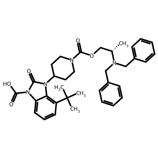 C[C@@H](COC(=O)N1CCC(n2c(=O)n(C(=O)O)c3cccc(C(C)(C)C)c32)CC1)N(Cc1ccccc1)Cc1ccccc1